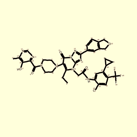 CCc1c(N2CCN(C(=O)c3ncnc(C)c3O)CC2)c(=O)n2nc(-c3ccc4c(c3)COC4)nc2n1CC(=O)Nc1cc(C2CC2)c(C(F)(F)F)cc1Cl